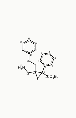 CCOC(=O)C1(c2ccccc2)CC1(CN)CCc1ccccc1